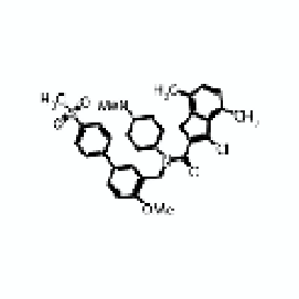 CN[C@H]1CC[C@@H](N(Cc2cc(-c3ccc(S(C)(=O)=O)cc3)ccc2OC)C(=O)C2=C(Cl)c3c(C)ccc(C)c3C2)CC1